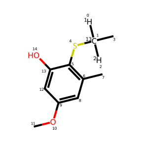 [1H][13C]([2H])(C)Sc1c(C)cc(OC)cc1O